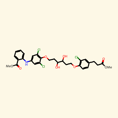 COC(=O)CCc1ccc(OCCC(O)C(O)CCOc2c(Cl)cc(Nc3ccccc3C(=O)OC)cc2Cl)c(Cl)c1